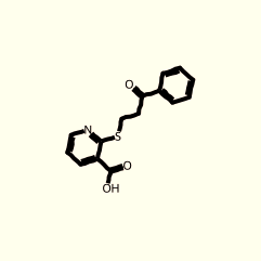 O=C(CCSc1ncccc1C(=O)O)c1ccccc1